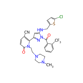 CN1CCN(CCn2c(-c3cc(NCc4ccc(Cl)s4)n(C(=O)c4ccccc4C(F)(F)F)n3)c(C#N)ccc2=O)CC1